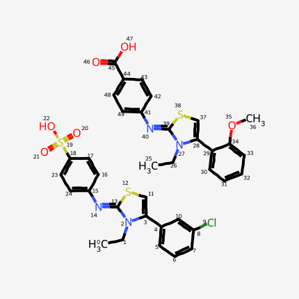 CCn1c(-c2cccc(Cl)c2)cs/c1=N\c1ccc(S(=O)(=O)O)cc1.CCn1c(-c2ccccc2OC)cs/c1=N\c1ccc(C(=O)O)cc1